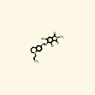 C=CCN1CCCc2cc(/N=N/c3c(C#N)cc4c(c3Br)C(=O)N(C)C4=O)ccc21